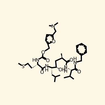 CSCC[C@H](NC(=O)OCc1ccc(CN(C)C)o1)C(=O)N[C@@H](CC(C)C)[C@@H](O)C[C@@H](C)C(=O)N[C@H](C(=O)NCc1ccccc1)C(C)C